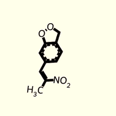 C/C(=C/c1ccc2c(c1)OOC2)[N+](=O)[O-]